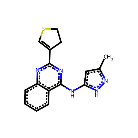 Cc1cc(Nc2nc(C3=CSCC3)nc3ccccc23)[nH]n1